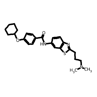 CN(C)CCCc1nc2ccc(NC(=O)c3ccc(OC4CCCCC4)cc3)cc2s1